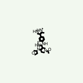 CN/C(C)=C(\C=N)c1ccc(NC(=N)C2=C(NC3CCOC3)CCN(C(C)=O)C2)c(F)c1